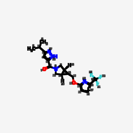 CC(C)c1cc(C(=O)N2C[C@@H]3C(COc4cccc(C(F)(F)F)n4)[C@@H]3C2)[nH]n1